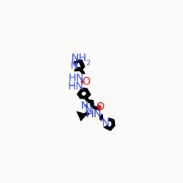 Nc1ccc(CNC(=O)Nc2ccc(-c3cc(C(=O)NCCN4CCCCC4)n(CC4CC4)n3)cc2)cn1